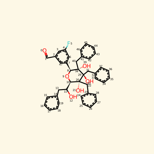 O=Cc1cc(F)cc([C@@H]2O[C@H](C(O)Cc3ccccc3)[C@](O)(Cc3ccccc3)[C@@](O)(Cc3ccccc3)[C@]2(O)Cc2ccccc2)c1